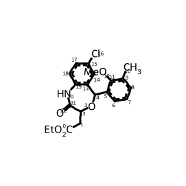 CCOC(=O)CC1OC(c2cccc(C)c2OC)c2cc(Cl)ccc2NC1=O